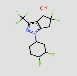 O[C@H]1c2c(C(F)(F)F)nn(C3CC[C@H](F)[C@H](F)C3)c2CC1(F)F